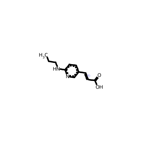 CCCNc1ccc(/C=C/C(=O)O)cn1